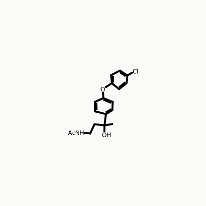 CC(=O)NCCC(C)(O)c1ccc(Oc2ccc(Cl)cc2)cc1